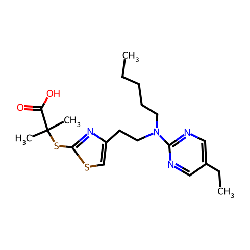 CCCCCN(CCc1csc(SC(C)(C)C(=O)O)n1)c1ncc(CC)cn1